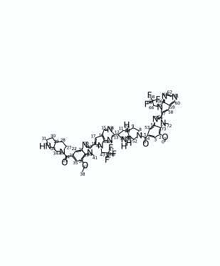 COc1cc(C(=O)N2CC[C@H]3CC(c4ncc5cc(-c6nc7cc(C(=O)N8CCC9CCNC9C8)cc(OC)c7n6C)n(CC(F)(F)F)c5n4)N[C@H]3C2)cc2nc(-c3cc4cncnc4n3CC(F)(F)F)n(C)c12